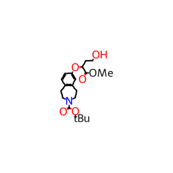 COC(=O)C(CCO)Oc1ccc2c(c1)CCN(C(=O)OC(C)(C)C)CC2